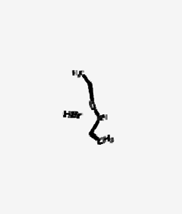 Br.CCNOCC